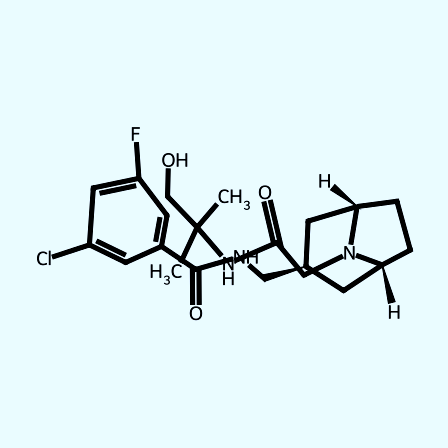 CC(C)(CO)NC(=O)CN1[C@@H]2CC[C@H]1C[C@H](CNC(=O)c1cc(F)cc(Cl)c1)C2